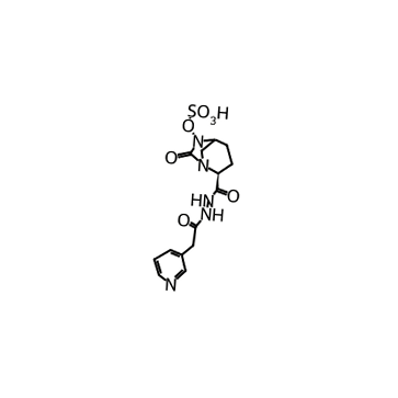 O=C(Cc1cccnc1)NNC(=O)[C@@H]1CCC2CN1C(=O)N2OS(=O)(=O)O